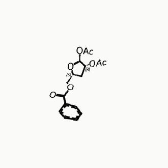 CC(=O)OC1O[C@H](COC(=O)c2ccccc2)C[C@H]1OC(C)=O